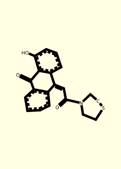 O=C1c2ccccc2C(=CC(=O)N2CCSCC2)c2cccc(O)c21